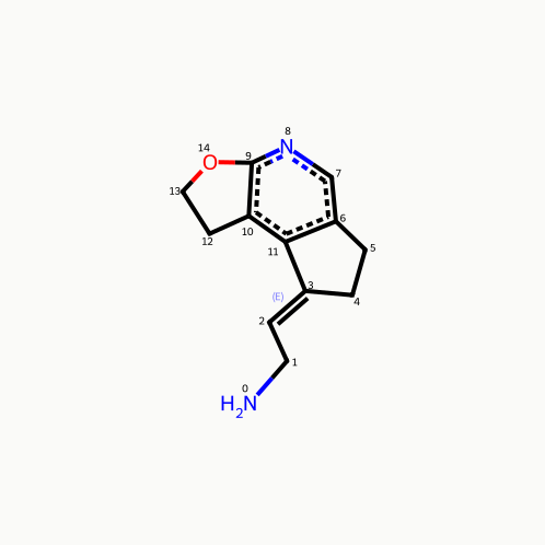 NC/C=C1\CCc2cnc3c(c21)CCO3